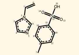 C=Cn1ccnc1.Cc1ccc(S(=O)(=O)O)cc1